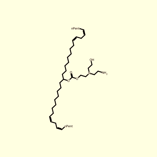 CCCCC/C=C\C/C=C\CCCCCCCCC(CCCCCCCC/C=C\C/C=C\CCCCC)OC(=O)OCCN(CCN)CCO